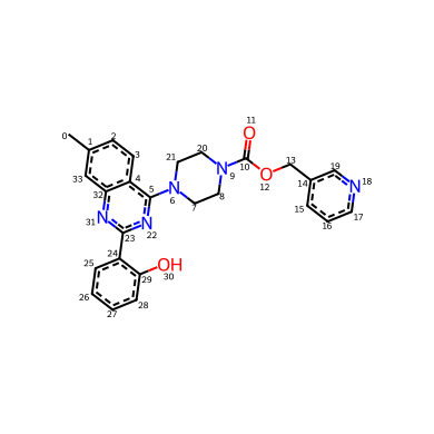 Cc1ccc2c(N3CCN(C(=O)OCc4cccnc4)CC3)nc(-c3ccccc3O)nc2c1